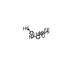 C#Cc1ccn2c(-c3cccc(NC(=O)NCC(F)(F)F)c3)cnc2c1